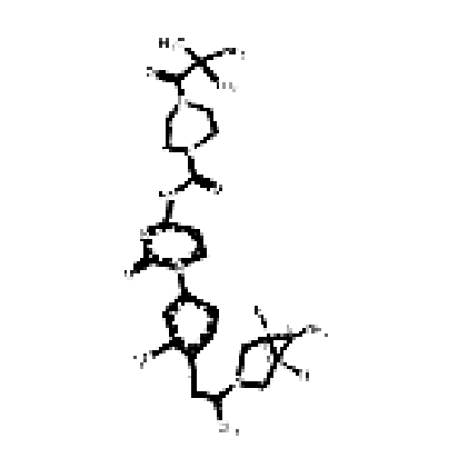 CC(Cc1ccc(-n2ccc(NC(=O)N3CCN(C(=O)C(C)(C)N)CC3)nc2=O)cc1C(F)(F)F)N1C[C@@H]2[C@@H](N)[C@@H]2C1